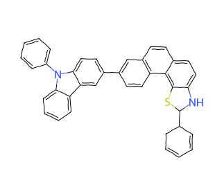 C1=CCC(C2Nc3ccc4ccc5cc(-c6ccc7c(c6)c6ccccc6n7-c6ccccc6)ccc5c4c3S2)C=C1